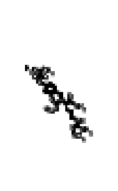 CN(C)S(=O)(=O)Oc1ccc(CN(C(=O)OC(C)(C)C)[C@H](CCCNC(N)=N[N+](=O)[O-])C(N)=O)cc1